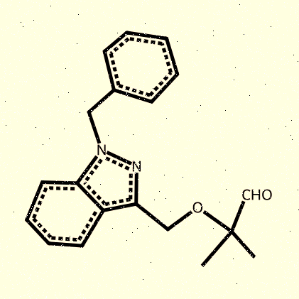 CC(C)(C=O)OCc1nn(Cc2ccccc2)c2ccccc12